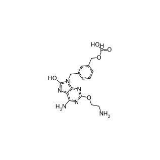 NCCOc1nc(N)c2nc(O)n(Cc3cccc(CO[PH](=O)O)c3)c2n1